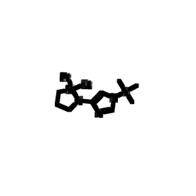 CC[Si]1(CC)CCCN1c1cn([Si](C)(C)C)cn1